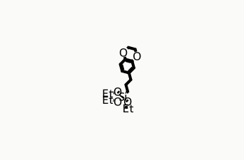 CCO[Si](CCCc1ccc2c(c1)OCCO2)(OCC)OCC